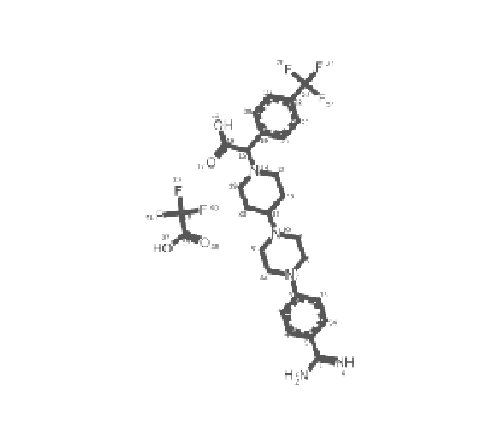 N=C(N)c1ccc(N2CCN(C3CCN(C(C(=O)O)c4ccc(C(F)(F)F)cc4)CC3)CC2)cc1.O=C(O)C(F)(F)F